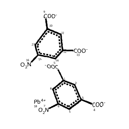 O=C([O-])c1cc(C(=O)[O-])cc([N+](=O)[O-])c1.O=C([O-])c1cc(C(=O)[O-])cc([N+](=O)[O-])c1.[Pb+4]